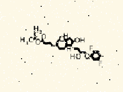 CC(C)OC(=O)CCC[C@H]1CC[C@@H]2[C@@H](/C=C/[C@@H](O)COc3cc(F)ccc3F)[C@@H](O)C[C@@H]2OC1